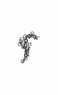 COCCOc1ccc(-n2cc(-c3cnc(C(=O)Nc4ccc(C(=O)N5CCN(C(=O)C6CC[N+](C)(C)CC6)CC5)c(Cl)c4)n3C)c(C(F)(F)F)n2)nc1.O=C[O-]